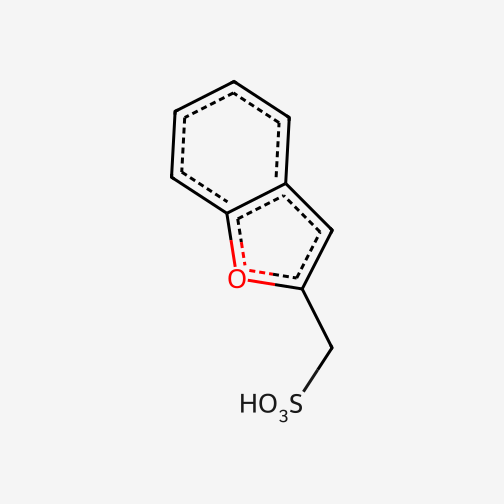 O=S(=O)(O)Cc1cc2ccccc2o1